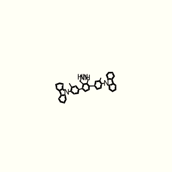 Cc1cc(-c2ccc(-c3ccc(-n4c5ccccc5c5ccccc54)c(C)c3)c(C=N)c2C=N)ccc1-n1c2ccccc2c2ccccc21